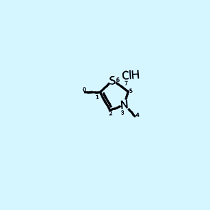 CC1=CN(C)CS1.Cl